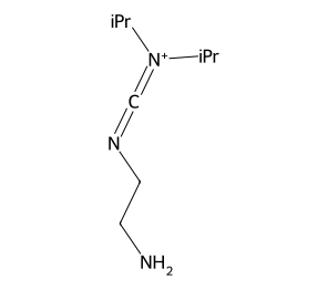 CC(C)[N+](=C=NCCN)C(C)C